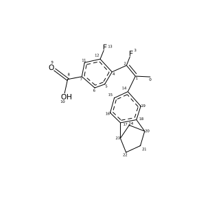 C/C(=C(\F)c1ccc(C(=O)O)cc1F)c1ccc2c(c1)C1CCC2C1